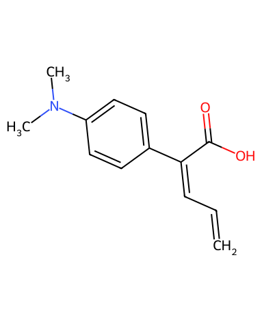 C=CC=C(C(=O)O)c1ccc(N(C)C)cc1